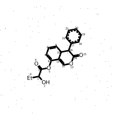 CCC(O)C(=O)OC1=CC=CC2C1=COC(=O)C2c1ccccc1